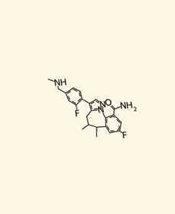 CNCc1ccc(-c2cnn3c2CC(C)C(C)c2cc(F)cc(C(N)=O)c2-3)c(F)c1